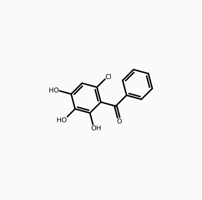 O=C(c1ccccc1)c1c(Cl)cc(O)c(O)c1O